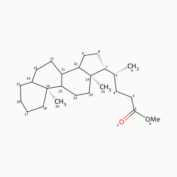 COC(=O)CC[C@@H](C)[C@H]1CCC2C3CCC4CCCC[C@]4(C)C3CC[C@@]21C